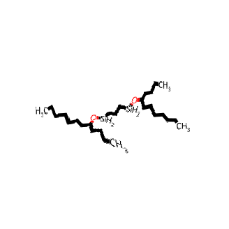 CCCCCCCC(CCCC)O[SiH2]CCC[SiH2]OC(CCCC)CCCCCCC